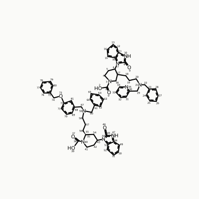 O=C(O)N1CCC(n2c(=O)[nH]c3ccccc32)C(CCCN(Cc2ccccc2)Cc2ccccn2)C1.O=C(O)N1CCC(n2c(=O)[nH]c3ccccc32)C[C@@H]1CCCN(Cc1ccccc1)Cc1cccc(OCc2ccccc2)c1